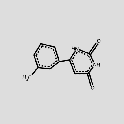 Cc1cccc(-c2cc(=O)[nH]c(=O)[nH]2)c1